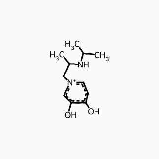 CC(C)NC(C)C[n+]1ccc(O)c(O)c1